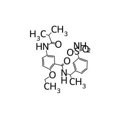 CCOc1ccc(NC(=O)C(C)C)cc1C(=O)NC(C)c1cccc(S(N)(=O)=O)c1